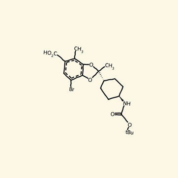 Cc1c(C(=O)O)cc(Br)c2c1OC(C)([C@H]1CC[C@H](NC(=O)OC(C)(C)C)CC1)O2